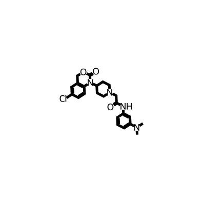 CN(C)c1cccc(NC(=O)CN2CCC(N3C(=O)OCc4cc(Cl)ccc43)CC2)c1